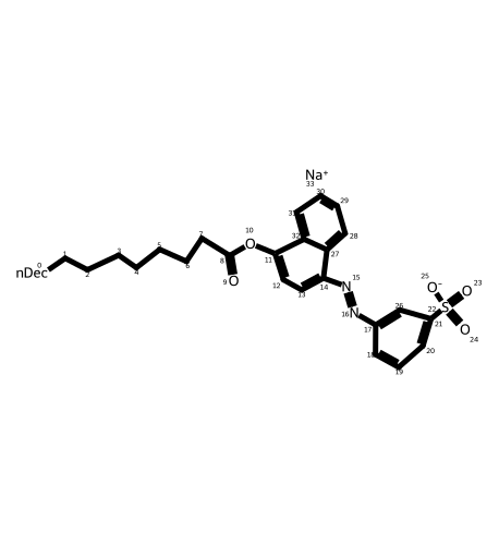 CCCCCCCCCCCCCCCCCC(=O)Oc1ccc(N=Nc2cccc(S(=O)(=O)[O-])c2)c2ccccc12.[Na+]